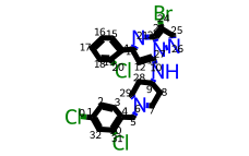 Clc1ccc(CN2CCC(Nc3cc(-c4ccccc4Cl)nc4c(Br)cnn34)CC2)c(Cl)c1